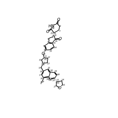 O=C1CC[C@H](N2Cc3cc(O[C@H]4CCN(Cc5cc(F)c6nc([C@@H]7CCOC7)ccc6c5)C4)ccc3C2=O)C(=O)N1